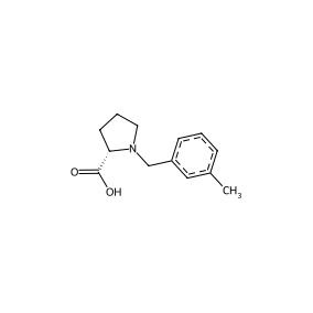 Cc1cccc(CN2CCC[C@H]2C(=O)O)c1